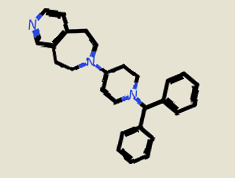 c1ccc(C(c2ccccc2)N2CCC(N3CCc4ccncc4CC3)CC2)cc1